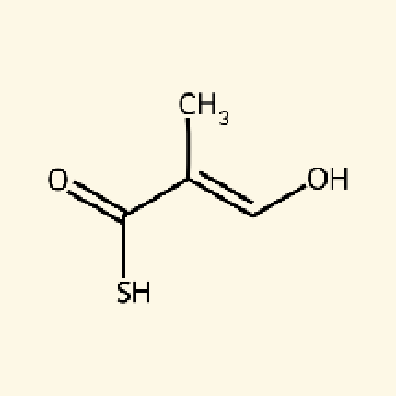 C/C(=C\O)C(=O)S